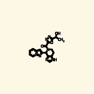 CC(O)c1nnc(C(=O)N2CCc3[nH]cnc3C2c2cc3ccccn3n2)o1